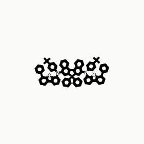 CC(C)(C)c1ccc(N(c2cc3c(c4ccccc24)-c2c(cc(N(c4ccc(C(C)(C)C)cc4)c4cccc5c4oc4c(-c6ccccc6)cccc45)c4ccccc24)C3(c2ccccc2)c2ccccc2)c2cccc3c2oc2c(-c4ccccc4)cccc23)cc1